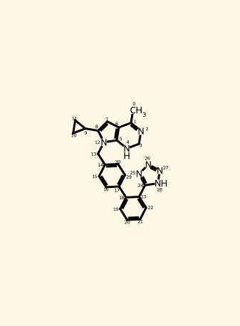 CC1=NCNc2c1cc(C1CC1)n2Cc1ccc(-c2ccccc2-c2nnn[nH]2)cc1